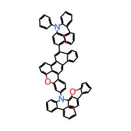 c1ccc(-c2ccccc2N(c2ccccc2)c2ccc(-c3cc4c5cccc6c5c(cc4c4ccccc34)-c3ccc(N(c4ccccc4-c4ccccc4)c4cccc5c4oc4ccccc45)cc3O6)cc2)cc1